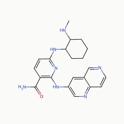 CNC1CCCCC1Nc1ccc(C(N)=O)c(Nc2cnc3ccncc3c2)n1